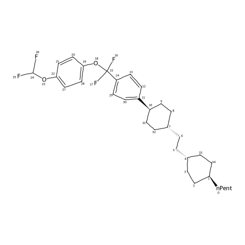 CCCCC[C@H]1CC[C@H](CC[C@H]2CC[C@H](c3ccc(C(F)(F)Oc4ccc(OC(F)F)cc4)cc3)CC2)CC1